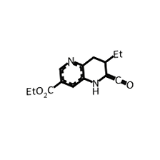 CCOC(=O)c1cnc2c(c1)NC(=C=O)C(CC)C2